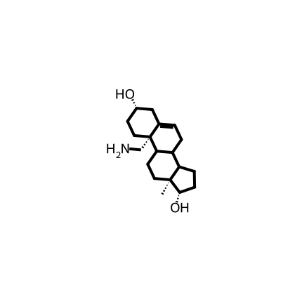 C[C@]12CCC3C(CC=C4C[C@@H](O)CC[C@@]43CN)C1CC[C@@H]2O